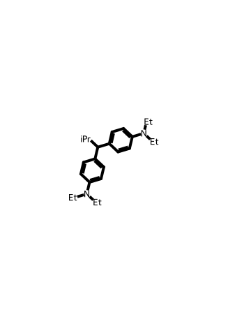 CCN(CC)c1ccc(C(c2ccc(N(CC)CC)cc2)C(C)C)cc1